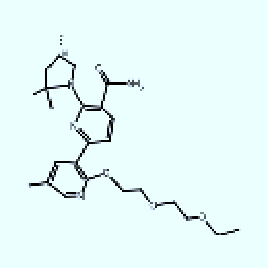 CCOCCOCCOc1ncc(C)cc1-c1ccc(C(N)=O)c(N2C[C@@H](C)CC2(C)C)n1